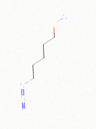 [N-]=[N+]=NCCCCCON